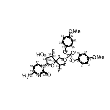 COc1ccc(OP(=O)(OC[C@@]2(C(F)F)O[C@@H](n3ccc(N)nc3=O)[C@H](O)[C@H]2F)Oc2ccc(OC)cc2)cc1